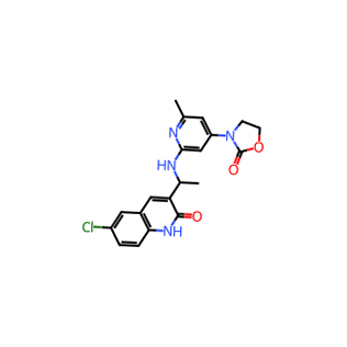 Cc1cc(N2CCOC2=O)cc(NC(C)c2cc3cc(Cl)ccc3[nH]c2=O)n1